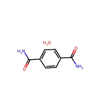 NC(=O)c1ccc(C(N)=O)cc1.O